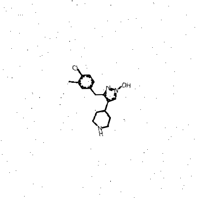 Cc1cc(Cc2nn(O)cc2C2CCNCC2)ccc1Cl